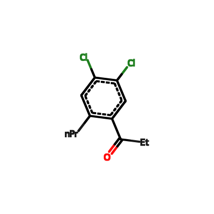 CCCc1cc(Cl)c(Cl)cc1C(=O)CC